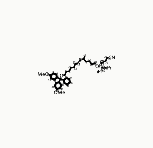 COc1ccc(C(OCCCCCCSSC(C)CCCCOP(OCCC#N)N(C(C)C)C(C)C)(c2ccccc2)c2ccc(OC)cc2)cc1